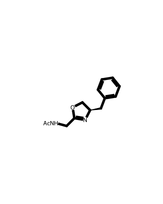 CC(=O)NCC1=N[C@H](Cc2ccccc2)CO1